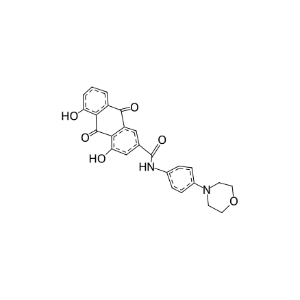 O=C(Nc1ccc(N2CCOCC2)cc1)c1cc(O)c2c(c1)C(=O)c1cccc(O)c1C2=O